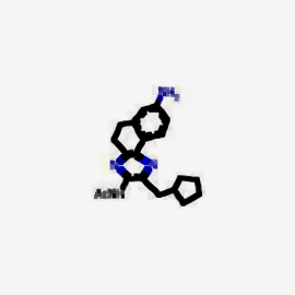 CC(=O)Nc1nc2c(nc1CC1CCCC1)-c1ccc(N)cc1CC2